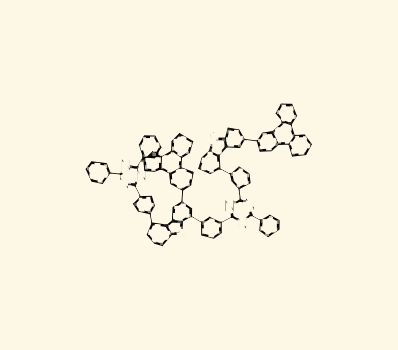 c1ccc(-c2nc(-c3ccccc3)nc(-c3ccc(-c4cccc5sc6c(-c7cccc(-c8nc(-c9ccccc9)nc(-c9cccc(-c%10cccc%11sc%12ccc(-c%13ccc%14c%15ccccc%15c%15ccccc%15c%14c%13)cc%12c%10%11)c9)n8)c7)cc(-c7ccc8c9ccccc9c9ccccc9c8c7)cc6c45)cc3)n2)cc1